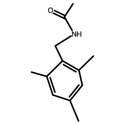 CC(=O)NCc1c(C)cc(C)cc1C